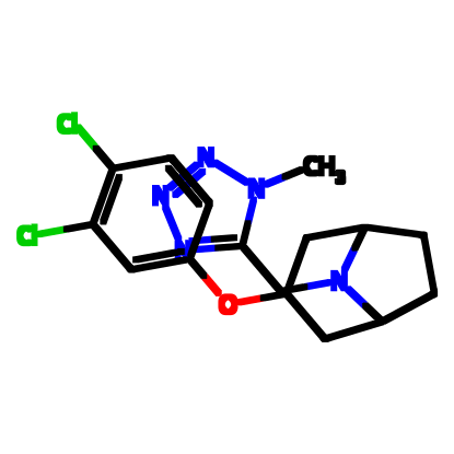 Cn1nnnc1CN1C2CCC1CC(Oc1ccc(Cl)c(Cl)c1)C2